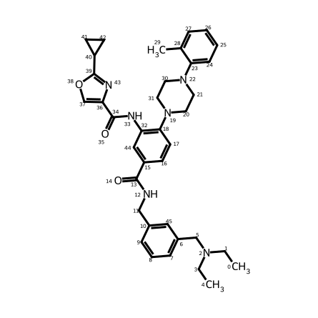 CCN(CC)Cc1cccc(CNC(=O)c2ccc(N3CCN(c4ccccc4C)CC3)c(NC(=O)c3coc(C4CC4)n3)c2)c1